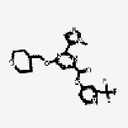 Cn1cncc1-c1nc(OCC2CCOCC2)cc(C(=O)Oc2ccnc(C(F)(F)F)c2)n1